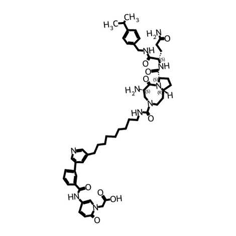 CC(C)c1ccc(CNC(=O)[C@H](CCC(N)=O)NC(=O)[C@@H]2CC[C@@H]3CCN(C(=O)NCCCCCCCCCc4cncc(-c5cccc(C(=O)Nc6ccc(=O)n(CC(=O)O)c6)c5)c4)C[C@H](N)C(=O)N32)cc1